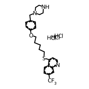 Cl.Cl.Cl.FC(F)(F)c1ccc2c(SCCCCCOc3ccc(CN4CCNCC4)cc3)ccnc2c1